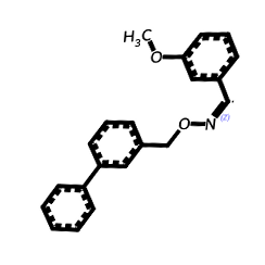 COc1cccc(/[C]=N\OCc2cccc(-c3ccccc3)c2)c1